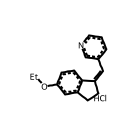 CCOc1ccc2c(c1)CC/C2=C/c1cccnc1.Cl